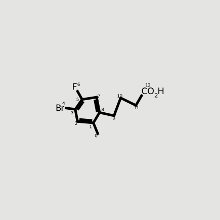 Cc1cc(Br)c(F)cc1CCCC(=O)O